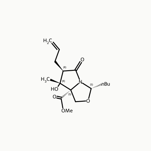 C=CC[C@H]1C(=O)N2[C@H](CCCC)OC[C@@]2(C(=O)OC)[C@]1(C)O